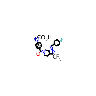 CN(C(=O)O)C12CCC(C(=O)N3CCc4c(C(F)(F)F)nn(Cc5ccc(F)cc5)c4C3)(CC1)CC2